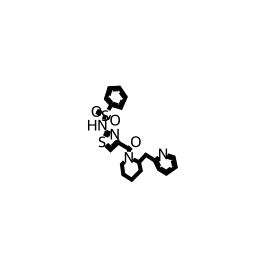 O=C(c1csc(NS(=O)(=O)c2ccccc2)n1)N1CCCCC1Cc1ccccn1